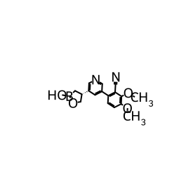 COc1ccc(-c2cncc([C@@H]3COB(O)C3)c2)c(C#N)c1OC